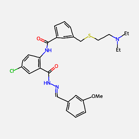 CCN(CC)CCSCc1cccc(C(=O)Nc2ccc(Cl)cc2C(=O)NN=Cc2cccc(OC)c2)c1